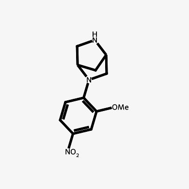 COc1cc([N+](=O)[O-])ccc1N1CC2CC1CN2